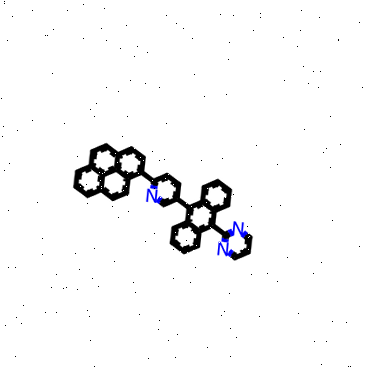 c1cnc(-c2c3ccccc3c(-c3ccc(-c4ccc5ccc6cccc7ccc4c5c67)nc3)c3ccccc23)nc1